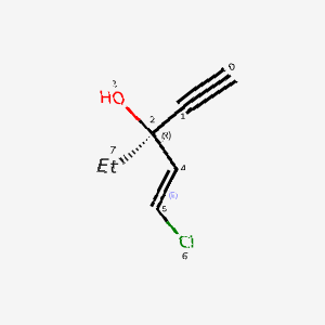 C#C[C@](O)(/C=C/Cl)CC